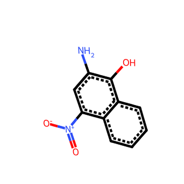 Nc1cc([N+](=O)[O-])c2ccccc2c1O